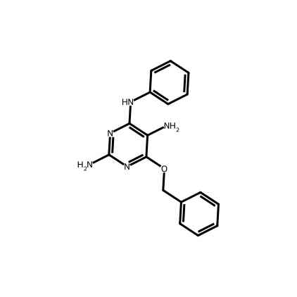 Nc1nc(Nc2ccccc2)c(N)c(OCc2ccccc2)n1